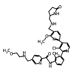 COCCNCc1ccc(C(=O)Nc2cccc(-c3nccc(-c4ccc(CNCC5CCC(=O)N5)c(OC)n4)c3Cl)c2C)nc1